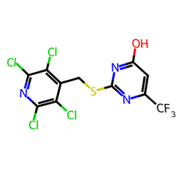 Oc1cc(C(F)(F)F)nc(SCc2c(Cl)c(Cl)nc(Cl)c2Cl)n1